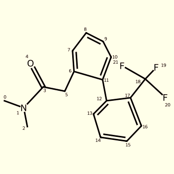 CN(C)C(=O)Cc1ccccc1-c1ccccc1C(F)(F)F